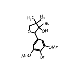 COc1cc(C2OCC(C)(C)C2(O)C(C)(C)C)cc(OC)c1Br